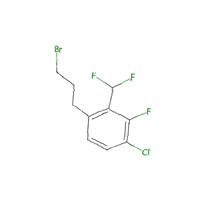 Fc1c(Cl)ccc(CCCBr)c1C(F)F